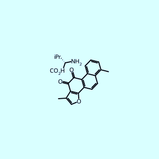 CC(C)[C@H](N)C(=O)O.Cc1coc2c1C(=O)C(=O)c1c-2ccc2c(C)cccc12